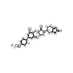 O=C1[C@H](Cc2c(Cl)cc(-c3ccc(OC(F)(F)F)cc3)cc2Cl)CCN1C1CCc2n[nH]cc2C1